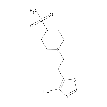 Cc1ncsc1CCN1CCN(S(C)(=O)=O)CC1